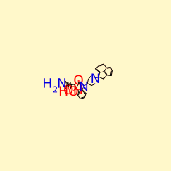 NC[C@H](O)CC1(O)C(=O)N(C2CCN(C3Cc4cccc5cccc3c45)CC2)c2ccccc21